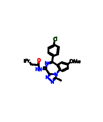 COc1ccc2c(c1)C(c1ccc(Cl)cc1)=N[C@@H](NC(=O)CC(C)C)c1nnc(C)n1-2